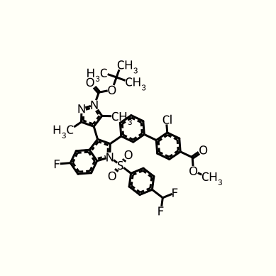 COC(=O)c1ccc(-c2cccc(-c3c(-c4c(C)nn(C(=O)OC(C)(C)C)c4C)c4cc(F)ccc4n3S(=O)(=O)c3ccc(C(F)F)cc3)c2)c(Cl)c1